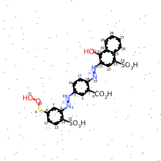 O=C(O)c1cc(/N=N/c2cc(SOO)ccc2S(=O)(=O)O)ccc1/N=N/c1cc(S(=O)(=O)O)c2ccccc2c1O